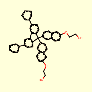 OCCOc1ccc2cc(C3(c4ccc5cc(OCCO)ccc5c4)c4ccc(-c5ccccc5)cc4-c4cc(-c5ccccc5)ccc43)ccc2c1